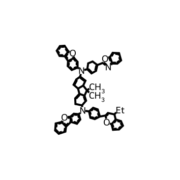 CCC1C=C(c2ccc(N(c3ccc4c(c3)oc3ccccc34)C3C=C4C(=CC3)C3C=CC(N(C5=CC=C(c6nc7ccccc7o6)CC5)c5ccc6c(c5)oc5ccccc56)=CC3C4(C)C)cc2)Oc2ccccc21